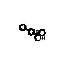 OC1(c2ccc(-c3ccccc3)cc2)CCCNC12CCCCC2